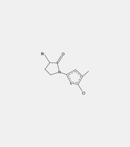 Cc1cc(N2CCC(Br)C2=O)sc1Cl